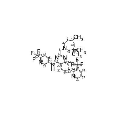 CC1CCN(Cc2nc(Nc3ccc(C(F)(F)F)nc3)c3ccc(-c4ncccc4C(F)(F)F)cc3n2)CC(C)(C)C1